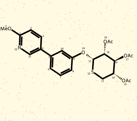 COc1ccc(-c2cccc(O[C@H]3SC[C@@H](OC(C)=O)[C@H](OC(C)=O)[C@H]3OC(C)=O)c2)cn1